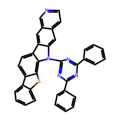 c1ccc(-c2nc(-c3ccccc3)nc(-n3c4cc5ccncc5cc4c4ccc5c6ccccc6sc5c43)n2)cc1